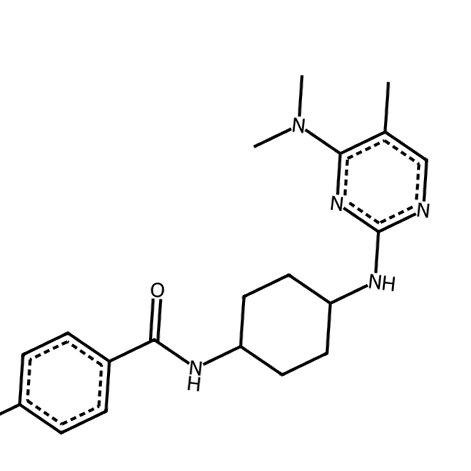 Cc1cnc(NC2CCC(NC(=O)c3ccc(F)cc3)CC2)nc1N(C)C